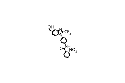 O=C(Nc1ccc(-n2c(C(F)(F)F)nc3cc(CO)ccc32)cc1)c1ccccc1[N+](=O)[O-]